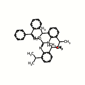 CC(C)c1cccc(C(C)C)c1/N=C(\Nc1c(C(C)C)cccc1C(C)C)ON=C(c1ccccc1)c1ccccc1